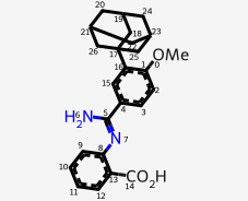 COc1ccc(C(N)=Nc2ccccc2C(=O)O)cc1C12CC3CC(CC(C3)C1)C2